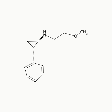 COCCN[C@@H]1C[C@H]1c1ccccc1